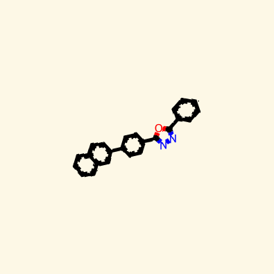 [c]1ccc(-c2nnc(-c3ccc(-c4ccc5ccccc5c4)cc3)o2)cc1